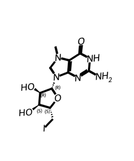 CN1CN([C@@H]2O[C@H](CI)[C@@H](O)[C@H]2O)c2nc(N)[nH]c(=O)c21